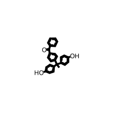 CC(c1ccc(O)cc1)(c1ccc(O)cc1)c1ccc(C(=O)c2ccccc2)cc1